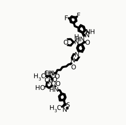 Cc1ncsc1-c1ccc(CNC(=O)[C@@H]2C[C@@H](O)CN2C(=O)[C@@H](NC(=O)CCCCCC(=O)N2CCN(c3ccc(C(=O)Nc4n[nH]c5ccc(Cc6cc(F)cc(F)c6)cc45)c(NC4CCOCC4)c3)CC2)C(C)(C)C)cc1